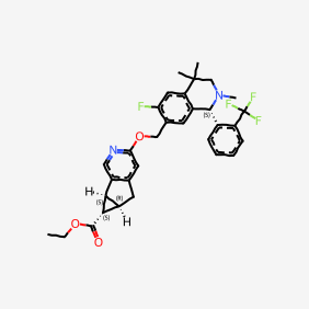 CCOC(=O)[C@H]1[C@@H]2Cc3cc(OCc4cc5c(cc4F)C(C)(C)CN(C)[C@@H]5c4ccccc4C(F)(F)F)ncc3[C@@H]21